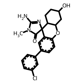 CN1C(=O)C2(N=C1N)c1cc(-c3cccc(Cl)c3)ccc1OC1CC(O)CCC12